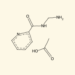 CC(=O)O.NCNC(=O)c1ccccn1